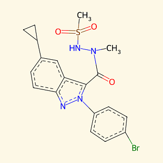 CN(NS(C)(=O)=O)C(=O)c1c2cc(C3CC3)ccc2nn1-c1ccc(Br)cc1